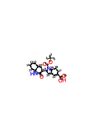 CC(C)(C)OC(=O)n1c(-c2cc3ccccc3[nH]c2=O)cc2cc(C(=O)O)ccc21